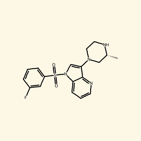 C[C@@H]1CN(c2cn(S(=O)(=O)c3cccc(F)c3)c3cccnc23)CCN1